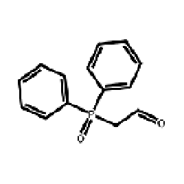 O=CCP(=O)(c1ccccc1)c1ccccc1